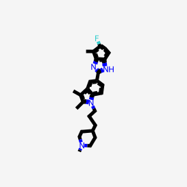 Cc1c(C)n(CCCC2CCN(C)CC2)c2ccc(-c3nc4c(C)c(F)ccc4[nH]3)cc12